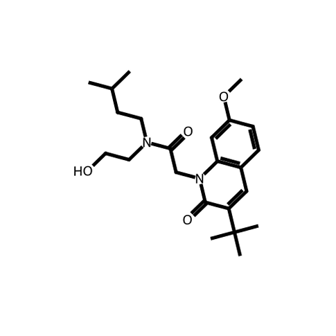 COc1ccc2cc(C(C)(C)C)c(=O)n(CC(=O)N(CCO)CCC(C)C)c2c1